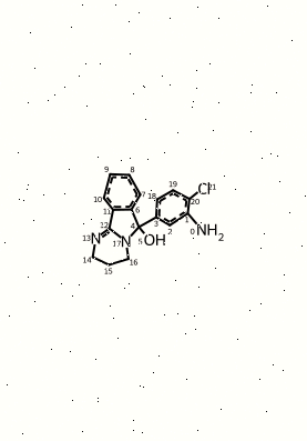 Nc1cc(C2(O)c3ccccc3C3=NCCCN32)ccc1Cl